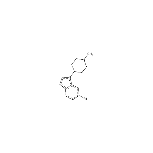 [2H]c1ccc2ccn(C3CCN(C)CC3)c2c1